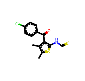 Cc1sc(NC=S)c(C(=O)c2ccc(Cl)cc2)c1C